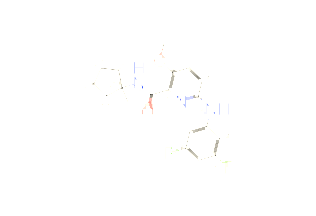 COc1ccc(Nc2cc(F)cc(F)c2)nc1C(=O)NC1(C)CCCC1